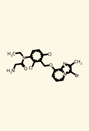 CCN(C(=O)CN)c1ccc(Cl)c(COc2cccn3c(Br)c(C)nc23)c1Cl